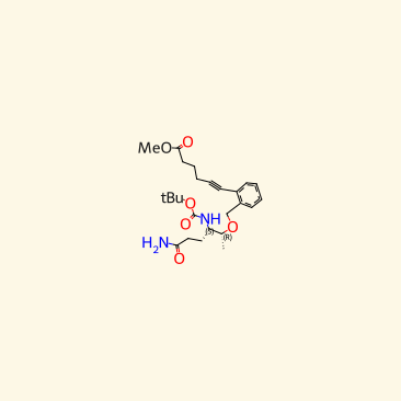 COC(=O)CCCC#Cc1ccccc1CO[C@H](C)[C@H](CCC(N)=O)NC(=O)OC(C)(C)C